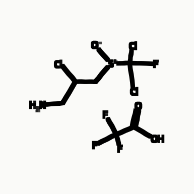 NCC(Cl)C[S+]([O-])C(F)(Cl)Cl.O=C(O)C(F)(F)F